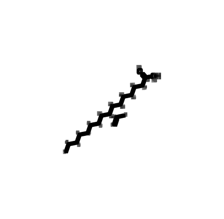 C=CC.CCCCCCCCCCCCCCCC(=O)O